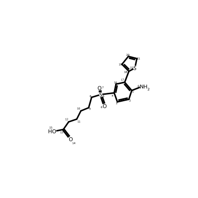 Nc1ccc(S(=O)(=O)CCCCCC(=O)O)cc1-c1cccs1